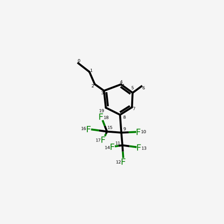 CCCc1[c]c(C)cc(C(F)(C(F)(F)F)C(F)(F)F)c1